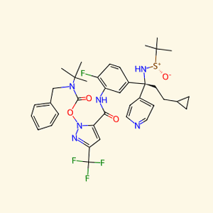 CC(C)(C)N(Cc1ccccc1)C(=O)On1nc(C(F)(F)F)cc1C(=O)Nc1cc([C@](CCC2CC2)(N[S@@+]([O-])C(C)(C)C)c2ccncc2)ccc1F